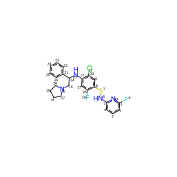 Fc1cccc(NSc2cc(Cl)c(NC(CN3CCCC3)c3ccccc3)cc2F)n1